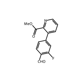 COC(=O)c1ncccc1-c1ccc(C=O)c(F)c1